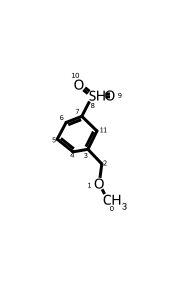 COCc1cccc([SH](=O)=O)c1